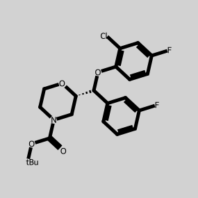 CC(C)(C)OC(=O)N1CCO[C@H](C(Oc2ccc(F)cc2Cl)c2cccc(F)c2)C1